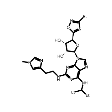 CCc1noc([C@H]2O[C@@H](n3cnc4c(NC(CC)CC)nc(NCCc5cn(C)cn5)nc43)[C@H](O)[C@@H]2O)n1